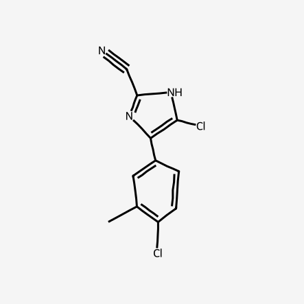 Cc1cc(-c2nc(C#N)[nH]c2Cl)ccc1Cl